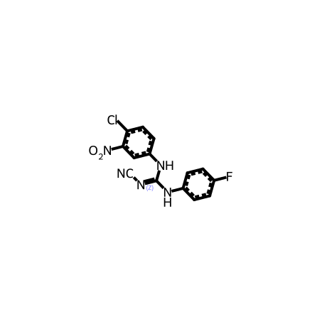 N#C/N=C(/Nc1ccc(F)cc1)Nc1ccc(Cl)c([N+](=O)[O-])c1